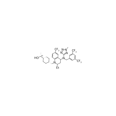 CCC1CC(N(Cc2cc(C(F)(F)F)cc(C(F)(F)F)c2)c2nnn(C)n2)c2cc(C(F)(F)F)ccc2N1C[C@H]1CC[C@@H]([C@@H](C)O)CC1